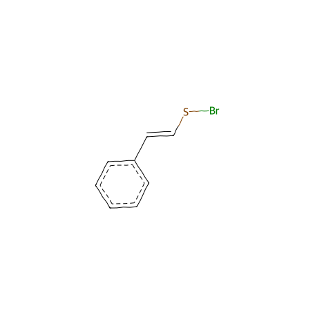 BrSC=Cc1ccccc1